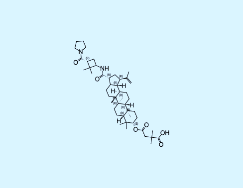 C=C(C)[C@@H]1C[C@@H](C(=O)NC2C[C@@H](C(=O)N3CCCC3)C2(C)C)C2CC[C@]3(C)[C@H](CC[C@@H]4[C@@]5(C)CC[C@H](OC(=O)CC(C)(C)C(=O)O)C(C)(C)[C@@H]5CC[C@]43C)[C@H]21